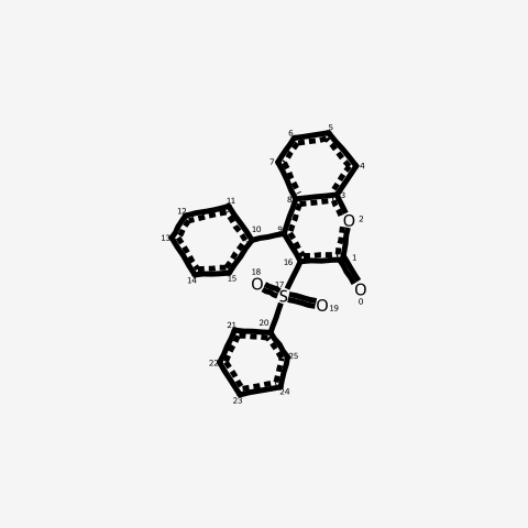 O=c1oc2ccccc2c(-c2ccccc2)c1S(=O)(=O)c1ccccc1